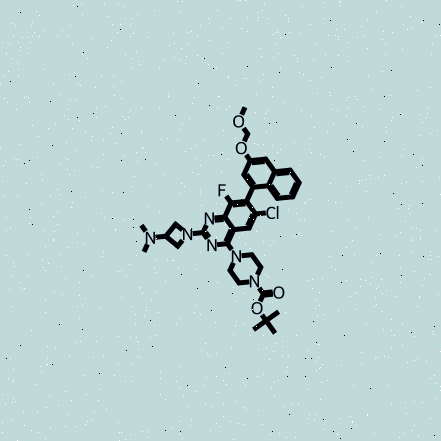 COCOc1cc(-c2c(Cl)cc3c(N4CCN(C(=O)OC(C)(C)C)CC4)nc(N4CC(N(C)C)C4)nc3c2F)c2ccccc2c1